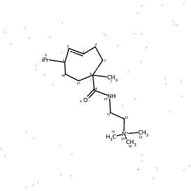 CC(C)C1/C=C/CCC(C)(C(=O)NCC[N+](C)(C)C)CC1